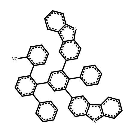 N#Cc1ccccc1-c1cccc(-c2ccccc2)c1-c1cc(-c2ccc3sc4ccccc4c3c2)c(-c2ccccc2)c(-c2ccc3sc4ccccc4c3c2)c1